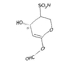 O=COC1=C[C@H](O)C(S(=O)(=O)O)CO1